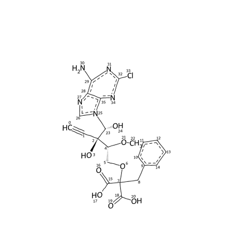 C#C[C@@](O)([C@@H](COC(Cc1ccccc1)(C(=O)O)C(=O)O)OC)[C@@H](O)n1cnc2c(N)nc(Cl)nc21